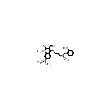 Bc1ccccc1CN(C)CCCSc1c(C=O)c(=O)n(B)c2cc(N(C)C)ccc12